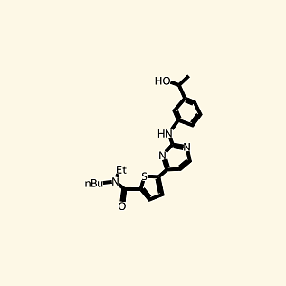 CCCCN(CC)C(=O)c1ccc(-c2ccnc(Nc3cccc(C(C)O)c3)n2)s1